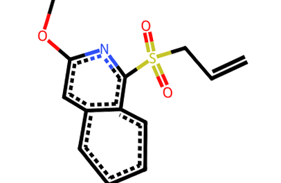 C=CCS(=O)(=O)c1nc(OC)cc2ccccc12